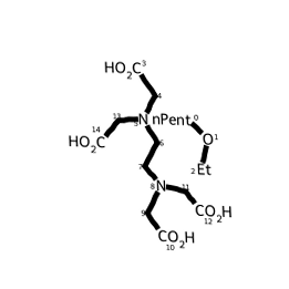 CCCCCOCC.O=C(O)CN(CCN(CC(=O)O)CC(=O)O)CC(=O)O